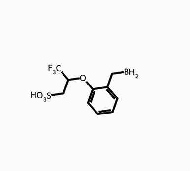 BCc1ccccc1OC(CS(=O)(=O)O)C(F)(F)F